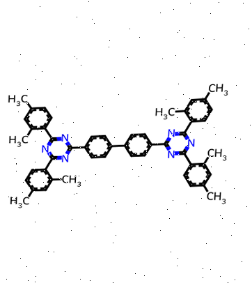 Cc1ccc(-c2nc(-c3ccc(-c4ccc(-c5nc(-c6ccc(C)cc6C)nc(-c6ccc(C)cc6C)n5)cc4)cc3)nc(-c3ccc(C)cc3C)n2)c(C)c1